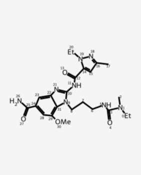 CCN(C)C(=O)NCCCn1c(NC(=O)c2cc(C)nn2CC)nc2cc(C(N)=O)cc(OC)c21